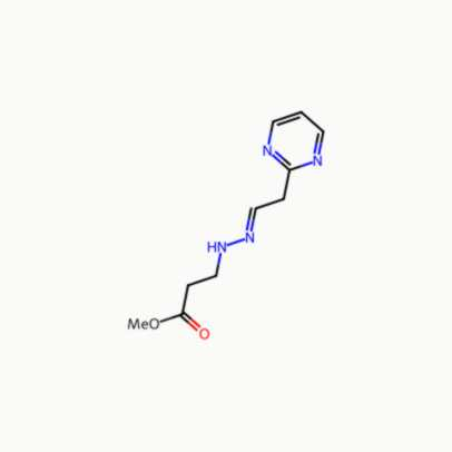 COC(=O)CCN/N=C/Cc1ncccn1